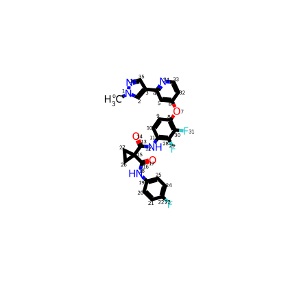 Cn1cc(-c2cc(Oc3ccc(NC(=O)C4(C(=O)Nc5ccc(F)cc5)CC4)c(F)c3F)ccn2)cn1